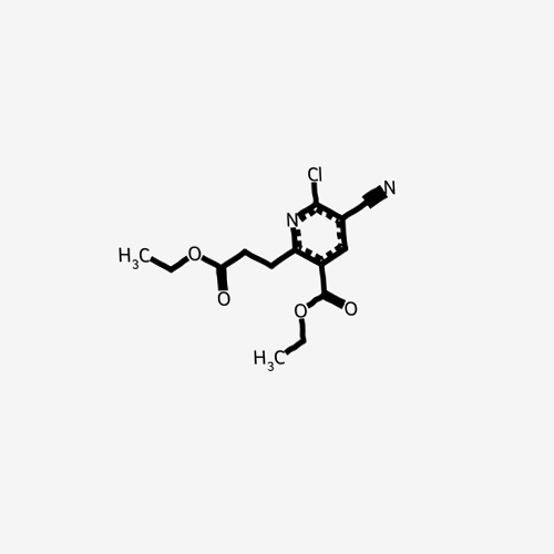 CCOC(=O)CCc1nc(Cl)c(C#N)cc1C(=O)OCC